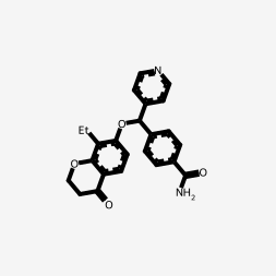 CCc1c(OC(c2ccncc2)c2ccc(C(N)=O)cc2)ccc2c1OCCC2=O